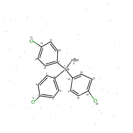 CCC[CH2][Sn]([c]1ccc(Cl)cc1)([c]1ccc(Cl)cc1)[c]1ccc(Cl)cc1